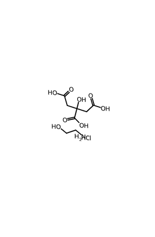 Cl.NCCO.O=C(O)CC(O)(CC(=O)O)C(=O)O